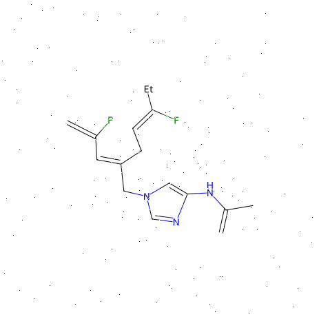 C=C(F)/C=C(\CC=C(F)CC)Cn1cnc(NC(=C)C)c1